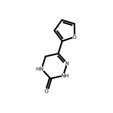 O=C1NCC(c2ccco2)=NN1